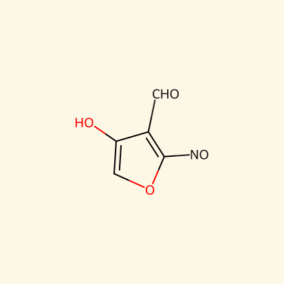 O=Cc1c(O)coc1N=O